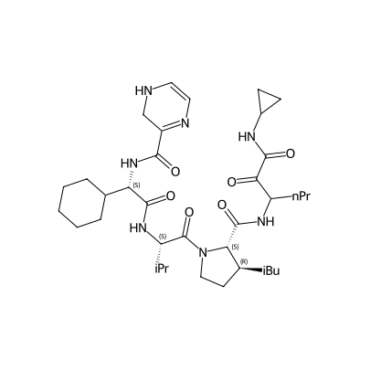 CCCC(NC(=O)[C@@H]1[C@@H](C(C)CC)CCN1C(=O)[C@@H](NC(=O)[C@@H](NC(=O)C1=NC=CNC1)C1CCCCC1)C(C)C)C(=O)C(=O)NC1CC1